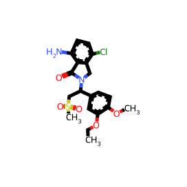 CCOc1cc(C(CS(C)(=O)=O)N2Cc3c(Cl)ccc(N)c3C2=O)ccc1OC